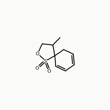 CC1COS(=O)(=O)C12C=CC=CC2